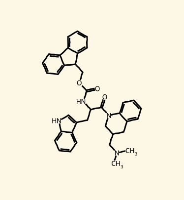 CN(C)CC1Cc2ccccc2N(C(=O)C(Cc2c[nH]c3ccccc23)NC(=O)OCC2c3ccccc3-c3ccccc32)C1